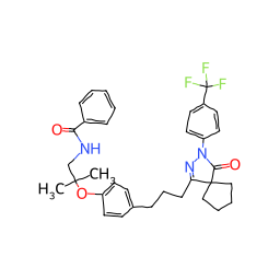 CC(C)(CNC(=O)c1ccccc1)Oc1ccc(CCCC2=NN(c3ccc(C(F)(F)F)cc3)C(=O)C23CCCC3)cc1